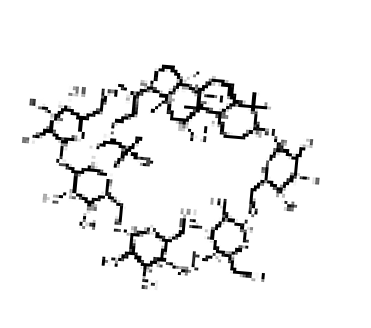 C[C@H](CC[C@@H](O[C@@H]1OC(CO[C@@H]2OC(CO)[C@@H](O)[C@H](O)C2O)[C@@H](O)[C@H](O)C1O[C@@H]1OC(CO)[C@@H](O)[C@H](O)C1O)C(C)(C)O)[C@H]1CC[C@@]2(C)[C@@H]3CC=C4[C@@H](CC[C@H](O[C@@H]5OC(CO[C@@H]6OC(CO)[C@@H](O)[C@H](O)C6O)[C@@H](O)[C@H](O)C5O)C4(C)C)[C@]3(C)[C@H](O)C[C@]12C